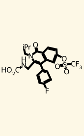 CC(C)Cn1c(CNC(=O)O)c(-c2ccc(F)cc2)c2cc(OS(=O)(=O)C(F)(F)F)ccc2c1=O